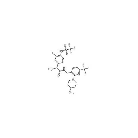 CC1CCN(c2nc(C(F)(F)F)ccc2CNC(=O)C(C)c2ccc(NS(=O)(=O)C(F)(F)F)c(F)c2)CC1